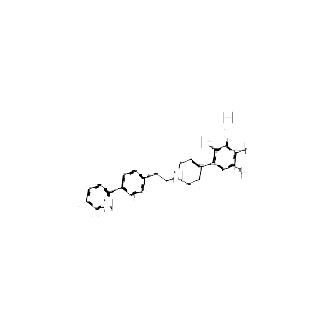 Cc1c(F)c(F)cc(C2=CCN(CCc3ccc(-c4ccccn4)cc3)CC2)c1F